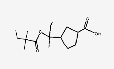 CCC(C)(C)C(=O)OC(C)(C)C1CCC(C(=O)O)C1